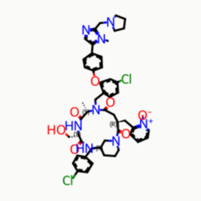 C[C@H]1C(=O)N[C@@H](CO)C(=O)N[C@@]2(Cc3ccc(Cl)cc3)CCCN(C2)C(=O)[C@H](Cc2cccc[n+]2[O-])CC(=O)N1Cc1ccc(Cl)cc1Oc1ccc(-c2cnc(CN3CCCC3)n2C)cc1